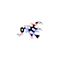 CCOC(=O)C1=C(C)Nc2c(c(NNC(=O)c3cccc(OC)c3)nc(=O)n2C2CC2)C1C